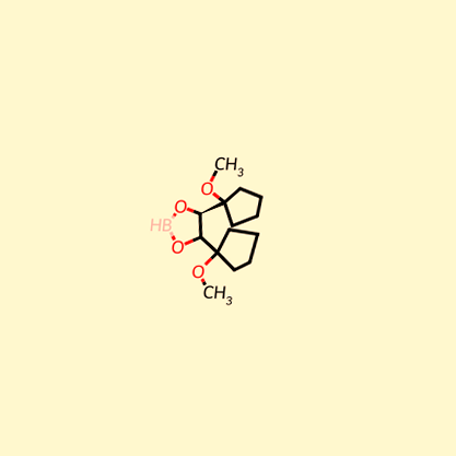 COC1(C2OBO[C@H]2C2(OC)CCCC2)CCCC1